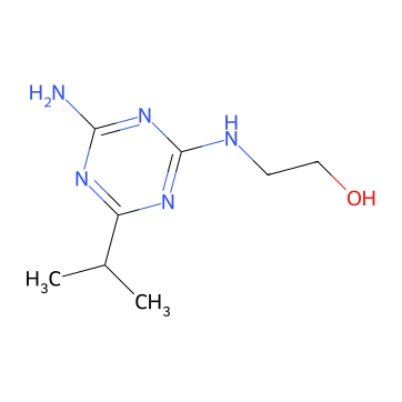 CC(C)c1nc(N)nc(NCCO)n1